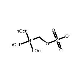 CCCCCCCC[N+](CCCCCCCC)(CCCCCCCC)COS(=O)(=O)[O-]